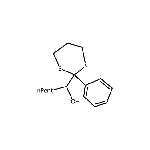 [CH2]CCCCC(O)C1(c2ccccc2)SCCCS1